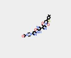 Cn1cc(-c2cncc(N3CCc4c(sc5c4CC(C)(C)C5)C3=O)c2C=O)cc(Nc2ccc(N3CCN(C4COC4)CC3)cn2)c1=O